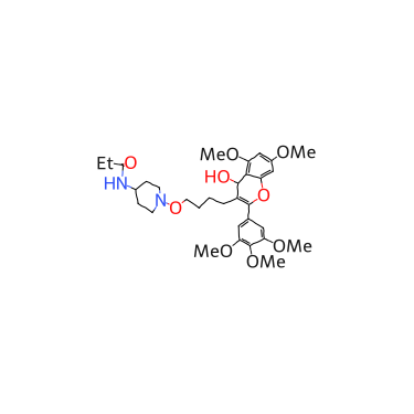 CCC(=O)NC1CCN(OCCCCC2=C(c3cc(OC)c(OC)c(OC)c3)Oc3cc(OC)cc(OC)c3C2O)CC1